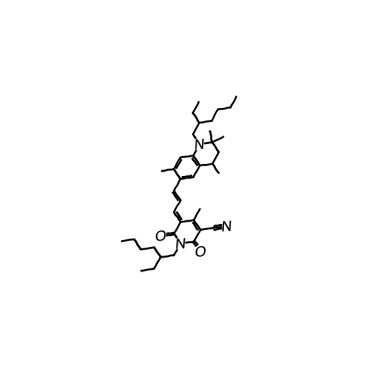 CCCCC(CC)CN1C(=O)C(C#N)=C(C)/C(=C\C=C\c2cc3c(cc2C)N(CC(CC)CCCC)C(C)(C)CC3C)C1=O